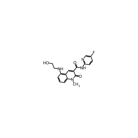 Cn1c(=O)c(C(=O)Nc2ccc(F)cn2)cc2c(NCCO)cccc21